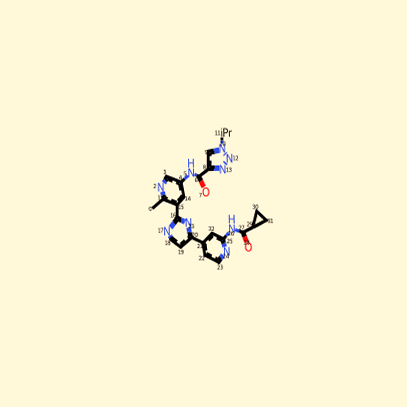 Cc1ncc(NC(=O)c2cn(C(C)C)nn2)cc1-c1nccc(-c2ccnc(NC(=O)C3CC3)c2)n1